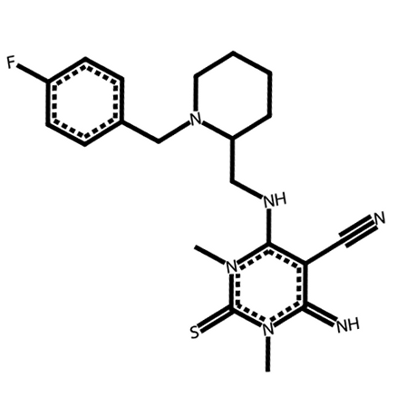 Cn1c(NCC2CCCCN2Cc2ccc(F)cc2)c(C#N)c(=N)n(C)c1=S